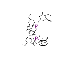 C=C=C1CC(CCP(Cc2ccccc2CP(C2(C)CC3CCC(CC)C(C3)C2=C)C2(CC)C3CC4CC(C3=C)C(C)C2C4)C2(CC)CCC(CC)CC2=C=C)CC(C)C1CC